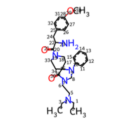 CCN(CC)CCN1CN(c2ccccc2)C2(CCN(C(=O)C(N)Cc3ccc(OC)cc3)CC2)C1=O